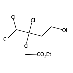 CCOC(C)=O.OCCC(Cl)(Cl)C(Cl)Cl